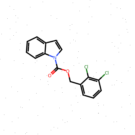 O=C(OCc1cccc(Cl)c1Cl)n1c[c]c2ccccc21